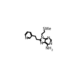 CSCCn1c(CCc2cccnc2)nc2c(N)ncnc21